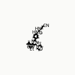 CCS(=O)(=O)C1(c2cc(N3CCOC[C@@H]3C)nc(-c3ccc(NC(=O)NCCC#N)cc3)n2)CC1